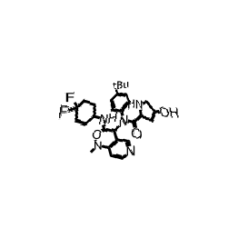 CN(C)c1ccncc1C(C(=O)NC1CCC(F)(F)CC1)N(C(=O)C1CC(O)CN1)c1ccc(C(C)(C)C)cc1